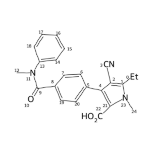 CCc1c(C#N)c(-c2ccc(C(=O)N(C)c3ccccc3)cc2)c(C(=O)O)n1C